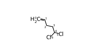 C=CCCC(Cl)Cl